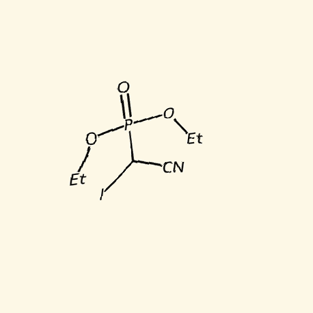 CCOP(=O)(OCC)C(I)C#N